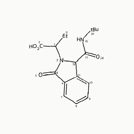 CCC(C(=O)O)N1C(=O)c2ccccc2C1C(=O)NC(C)(C)C